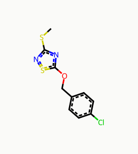 CSc1nsc(OCc2ccc(Cl)cc2)n1